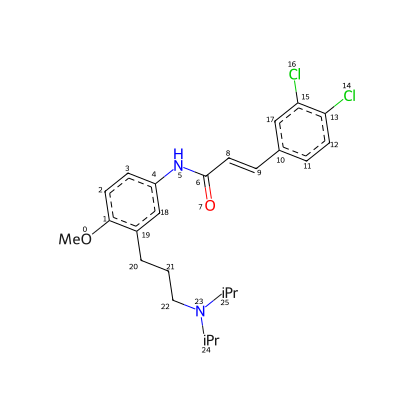 COc1ccc(NC(=O)C=Cc2ccc(Cl)c(Cl)c2)cc1CCCN(C(C)C)C(C)C